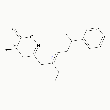 CC/C(=C\CC(C)c1ccccc1)CC1=NOC(=O)[C@H](C)C1